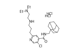 CCN(CC)CCNCCCc1cc(C(=O)NCC23CC4CC(CC(C4)C2)C3)c(Cl)cn1.Cl.Cl